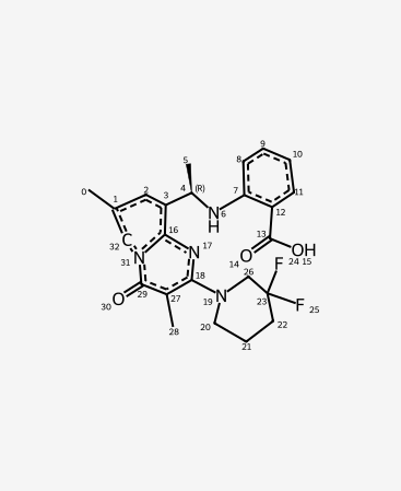 Cc1cc([C@@H](C)Nc2ccccc2C(=O)O)c2nc(N3CCCC(F)(F)C3)c(C)c(=O)n2c1